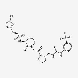 O=C(NC[C@H]1CCCN1C(=O)CN1CCC[C@H](NS(=O)(=O)/C=C/c2ccc(Cl)s2)C1=O)Nc1cccc(C(F)(F)F)c1